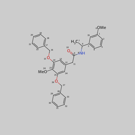 COc1cccc(C(C)NC(=O)Cc2cc(OCc3ccccc3)c(OC)c(OCc3ccccc3)c2)c1